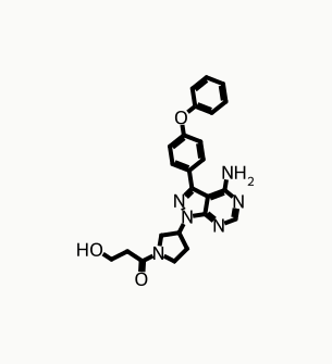 Nc1ncnc2c1c(-c1ccc(Oc3ccccc3)cc1)nn2C1CCN(C(=O)CCO)C1